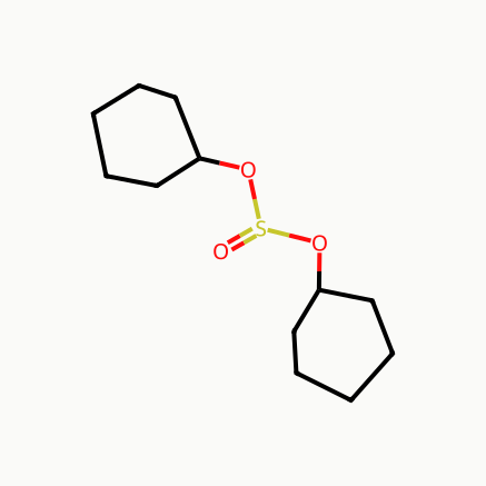 O=S(OC1CCCCC1)OC1CCCCC1